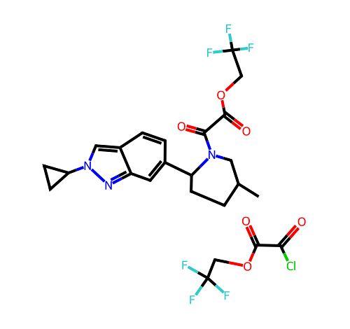 CC1CCC(c2ccc3cn(C4CC4)nc3c2)N(C(=O)C(=O)OCC(F)(F)F)C1.O=C(Cl)C(=O)OCC(F)(F)F